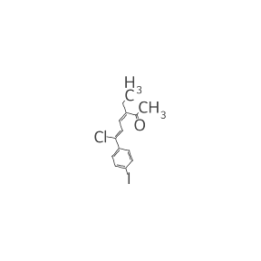 CCC(=CC=C(Cl)c1ccc(I)cc1)C(C)=O